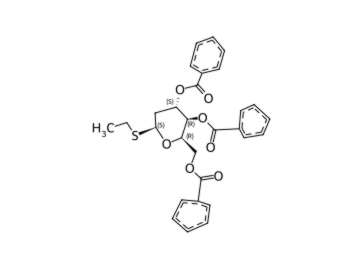 CCS[C@H]1C[C@H](OC(=O)c2ccccc2)[C@@H](OC(=O)c2ccccc2)[C@@H](COC(=O)c2ccccc2)O1